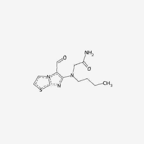 CCCCN(CC(N)=O)c1nc2sccn2c1C=O